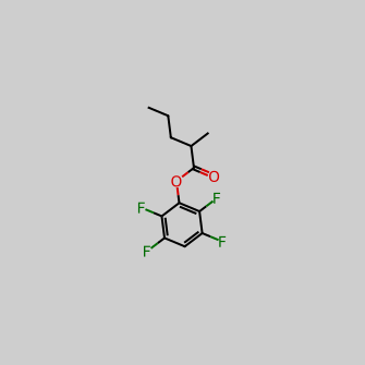 CCCC(C)C(=O)Oc1c(F)c(F)cc(F)c1F